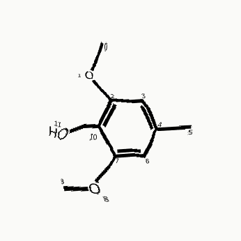 COc1cc(C)cc(OC)c1O